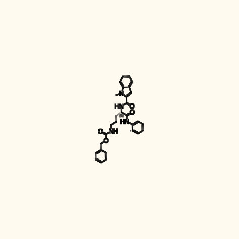 Cn1c(C(=O)N[C@@H](CCCNC(=O)OCc2ccccc2)C(=O)Nc2[c]cccc2)cc2ccccc21